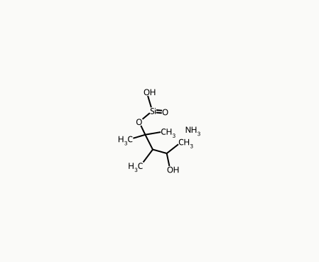 CC(O)C(C)C(C)(C)O[Si](=O)O.N